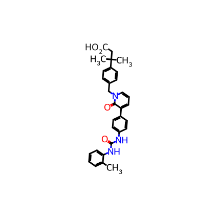 Cc1ccccc1NC(=O)Nc1ccc(-c2cccn(Cc3ccc(C(C)(C)CC(=O)O)cc3)c2=O)cc1